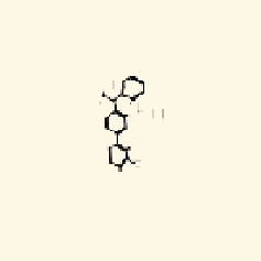 CN1c2ccccc2C(C(=O)O)c2ccc(-c3ccc(F)c(F)c3F)cc21